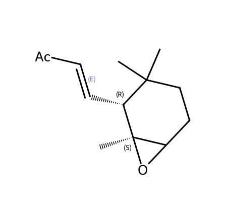 CC(=O)/C=C/[C@@H]1C(C)(C)CCC2O[C@]21C